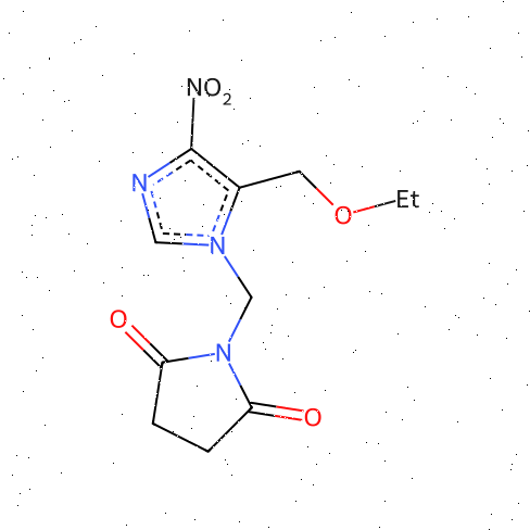 CCOCc1c([N+](=O)[O-])ncn1CN1C(=O)CCC1=O